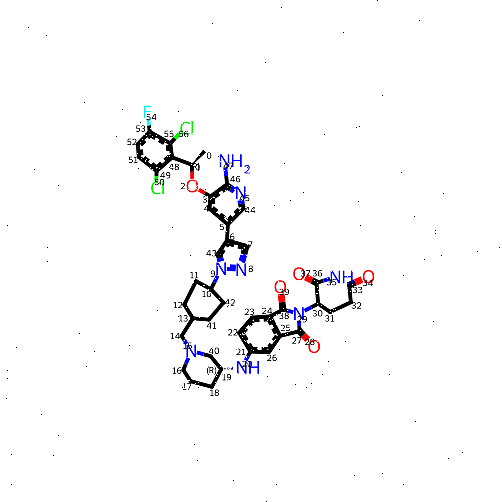 C[C@@H](Oc1cc(-c2cnn(C3CCC(CN4CCC[C@@H](Nc5ccc6c(c5)C(=O)N(C5CCC(=O)NC5=O)C6=O)C4)CC3)c2)cnc1N)c1c(Cl)ccc(F)c1Cl